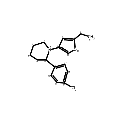 CCc1cc(N2CCCCC2c2ccc(Cl)cc2)co1